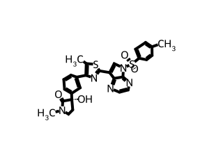 Cc1ccc(S(=O)(=O)n2cc(-c3nc(-c4cccc([C@@]5(O)CCN(C)C5=O)c4)c(C)s3)c3nccnc32)cc1